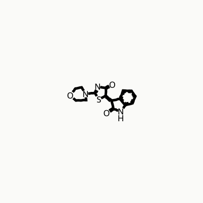 O=C1N=C(N2CCOCC2)SC1=C1C(=O)Nc2ccccc21